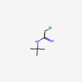 CC(C)(C)NC(=N)C[18F]